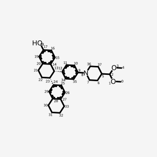 COC(OC)C1CCN(c2ccc([C@H]3c4ccc(O)cc4CC[C@H]3c3ccc4c(c3)CCCC4)cc2)CC1